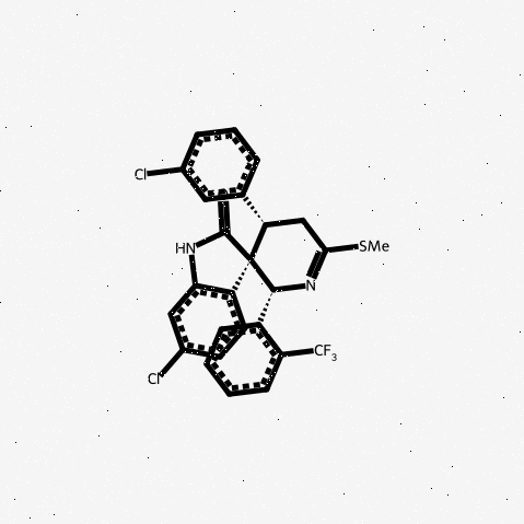 CSC1=N[C@H](c2ccccc2C(F)(F)F)[C@@]2(C(=O)Nc3cc(Cl)ccc32)[C@H](c2cccc(Cl)c2)C1